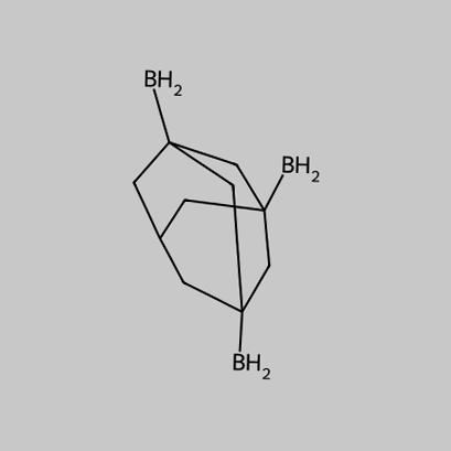 BC12CC3CC(B)(C1)CC(B)(C3)C2